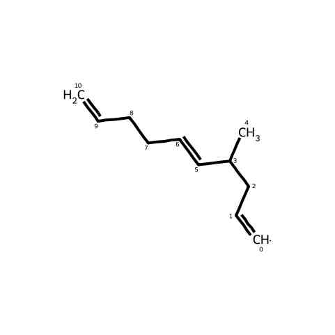 [CH]=CCC(C)C=CCCC=C